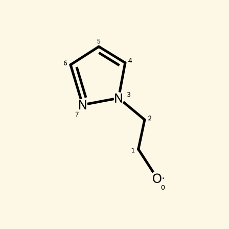 [O]CCn1cccn1